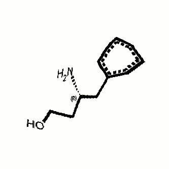 N[C@@H](CCO)Cc1ccccc1